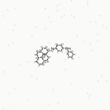 C(=Nc1ccc(Nc2ccccc2)cc1)c1ccc2ccc3cccc4ccc1c2c34